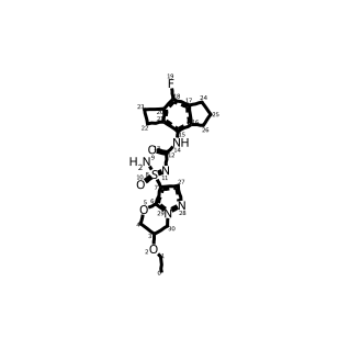 CCOC1COc2c(S(N)(=O)=NC(=O)Nc3c4c(c(F)c5c3CC5)CCC4)cnn2C1